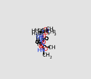 C#CCCC(NC(=O)[C@@H]1[C@H]2CCC[C@H]2CN1C(=O)[C@@H](NC(=O)N[C@H](CN(C)S(=O)(=O)N(C)C)C(C)(C)C)C1CCCCC1)C(=O)C(=O)NCC=C